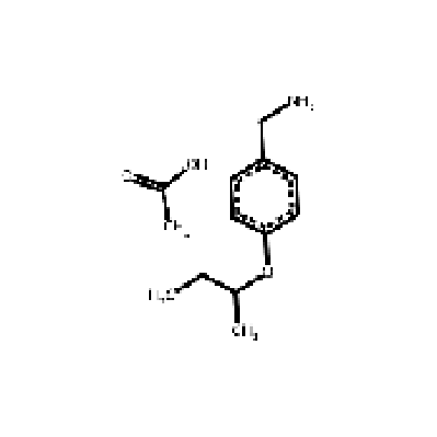 CC(=O)O.CCC(C)Oc1ccc(CN)cc1